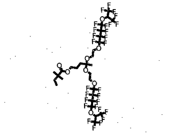 CCC(C)(C)C(=O)OCCCC(C)(OCCOC(F)(F)C(F)(F)C(F)(F)C(F)(F)OC(C(F)(F)F)C(F)(F)F)OCCOC(F)(F)C(F)(F)C(F)(F)C(F)(F)OC(C(F)(F)F)C(F)(F)F